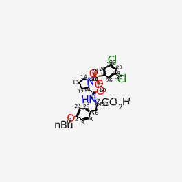 CCCCOc1ccc(C[C@H](NC(=O)[C@@H]2CCCN2S(=O)(=O)c2cc(Cl)cc(Cl)c2)C(=O)O)cc1